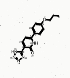 CCCOc1ccc(-c2ccc(-c3nnn[nH]3)c(=O)[nH]2)cc1